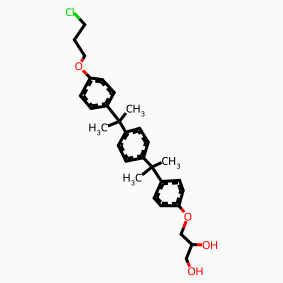 CC(C)(c1ccc(OCCCCl)cc1)c1ccc(C(C)(C)c2ccc(OCC(O)CO)cc2)cc1